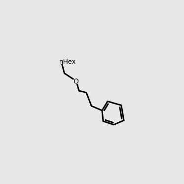 [CH2]CCCCCCOCCCc1ccccc1